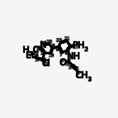 CC#CC(=O)Nc1cc(-c2cnc(C)c(/C(Cl)=C\CC)c2)ccc1P